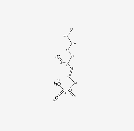 C=C(CC=CC(C=O)CCCCC)C(=O)O